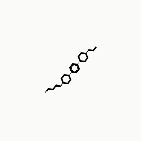 CCC[C@H]1CC[C@H](c2ccc([C@H]3CC[C@H](C=CCCF)CC3)cc2)CC1